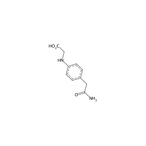 NC(=O)Cc1ccc(NCC(=O)O)cc1